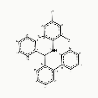 Cc1cc(C)c(NC(c2ccccn2)c2ccccc2-c2ccccc2)c(C)c1